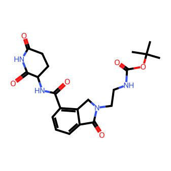 CC(C)(C)OC(=O)NCCN1Cc2c(C(=O)NC3CCC(=O)NC3=O)cccc2C1=O